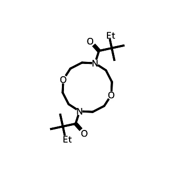 CCC(C)(C)C(=O)N1CCOCCN(C(=O)C(C)(C)CC)CCOCC1